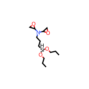 CCCO[SiH](CCCN(C1CO1)C1CO1)OCCC